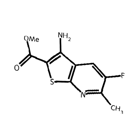 COC(=O)c1sc2nc(C)c(F)cc2c1N